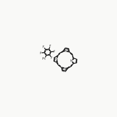 C1=Cc2cc3ccc(cc4nc(cc5ccc(cc1n2)[nH]5)C=C4)[nH]3.Fc1c(F)c(F)[c]([Pt])c(F)c1F